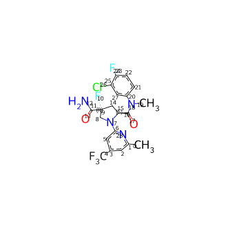 Cc1cc(C(F)(F)F)cc(N2C[C@@](F)(C(N)=O)C[C@H]2C(=O)N(C)c2ccc(F)c(Cl)c2)n1